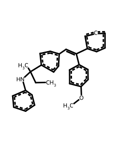 CCC(C)(Nc1ccccc1)c1ccc(C=C(c2ccccc2)c2ccc(OC)cc2)cc1